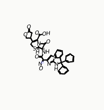 CO/N=C(/C(=O)N[C@@H]1C(=O)N2C(C(=O)O)=C(C3COC(=O)C3)CS[C@H]12)c1csc(NC(c2ccccc2)(c2ccccc2)c2ccccc2)n1